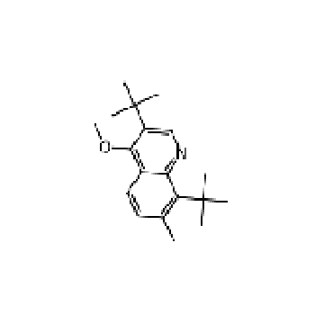 COc1c(C(C)(C)C)cnc2c(C(C)(C)C)c(C)ccc12